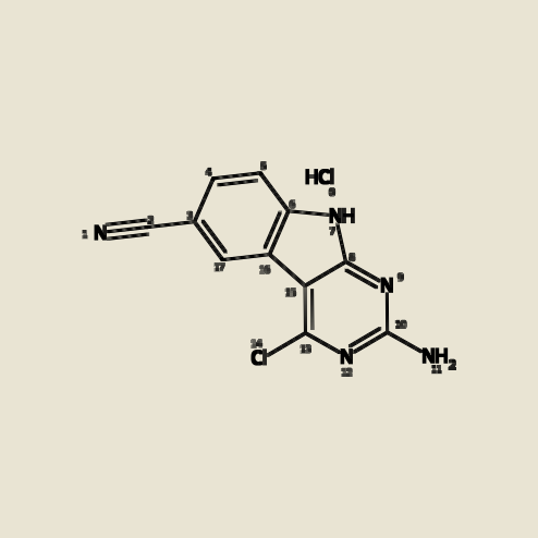 Cl.N#Cc1ccc2[nH]c3nc(N)nc(Cl)c3c2c1